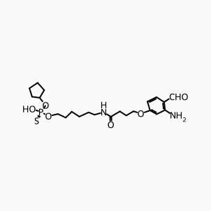 Nc1cc(OCCCC(=O)NCCCCCCOP(O)(=S)OC2CCCC2)ccc1C=O